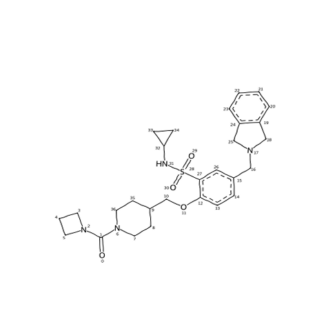 O=C(N1CCC1)N1CCC(COc2ccc(CN3Cc4ccccc4C3)cc2S(=O)(=O)NC2CC2)CC1